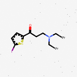 CC(C)CN(CCC(=O)c1ccc(I)s1)CC(C)C